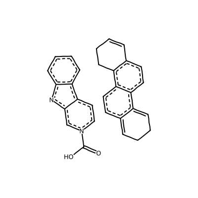 C1=Cc2ccc3c4c(ccc3c2CC1)=CCCC=4.O=C(O)n1ccc2c3ccccc3nc-2c1